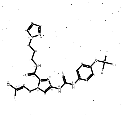 O=C(Nc1ccc(OC(F)(F)F)cc1)Nc1cn(C/C=C(/Cl)I)c(C(=O)NCCCn2cccn2)n1